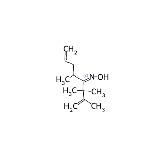 C=CCC(C)/C(=N/O)C(C)(C)C(=C)C